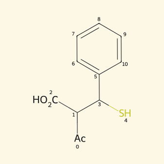 CC(=O)C(C(=O)O)C(S)c1ccccc1